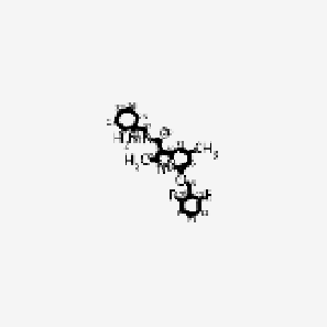 Cc1cc(OCc2c(F)cccc2F)n2nc(C)c(C(=O)NCC3(N)CCCCC3)c2c1